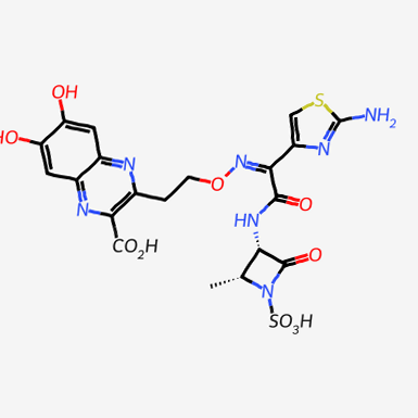 C[C@@H]1[C@H](NC(=O)/C(=N\OCCc2nc3cc(O)c(O)cc3nc2C(=O)O)c2csc(N)n2)C(=O)N1S(=O)(=O)O